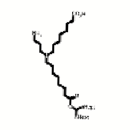 CCCCCCCC(CCCCCCC)OC(=O)CCCCCCCN(CCCN)CCCCCCCC(=O)O